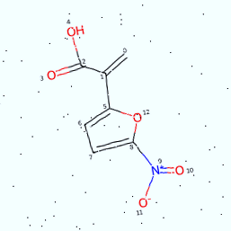 C=C(C(=O)O)c1ccc([N+](=O)[O-])o1